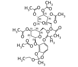 CCOC1(C)Oc2cccc(O[C@@H]3O[C@H](COC(C)=O)[C@@H](O[C@H]4O[C@H](COC(C)=O)[C@@H](OC(C)=O)[C@H](OC(C)=O)[C@H]4OC(C)=O)[C@H](OC(C)=O)[C@H]3OC(C)=O)c2O1